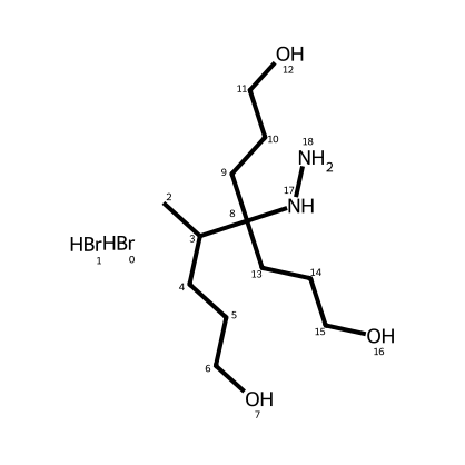 Br.Br.CC(CCCO)C(CCCO)(CCCO)NN